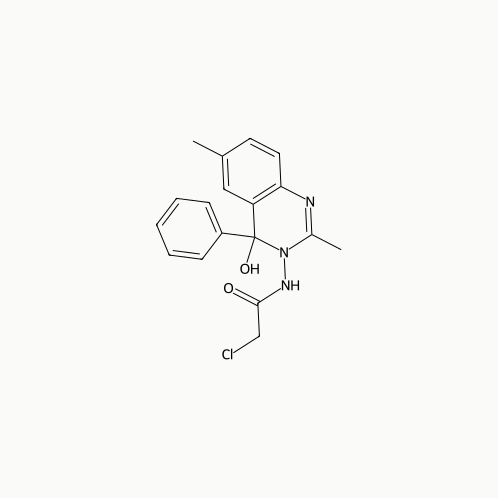 CC1=Nc2ccc(C)cc2C(O)(c2ccccc2)N1NC(=O)CCl